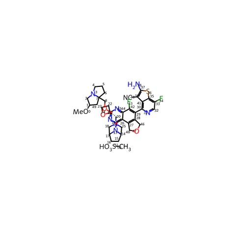 COC1CN2CCCC2(COc2nc(N3C4CCC3CN(C[C@H]3CCO3)C4)c3c4c(c(-c5ncc(F)c6sc(N)c(C#N)c56)c(F)c3n2)COC4)C1.CS(=O)(=O)O